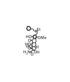 CCN(CCc1ccccc1)Cc1cc(O)c2c(c1OC)CC1C[C@H]3CC(O)=C(C(N)=O)C(=O)[C@@]3(O)C(O)=C1C2=O